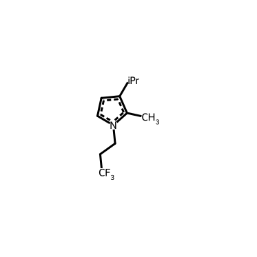 Cc1c(C(C)C)ccn1CCC(F)(F)F